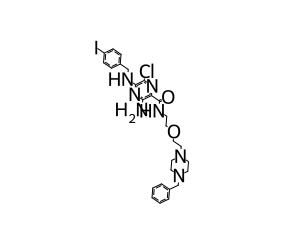 Nc1nc(NCc2ccc(I)cc2)c(Cl)nc1C(=O)NCCOCCN1CCN(Cc2ccccc2)CC1